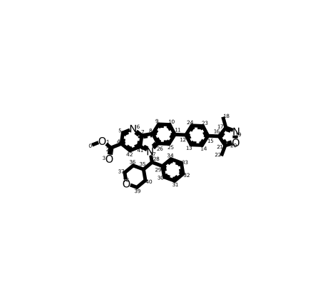 COC(=O)c1cnc2c3ccc(-c4ccc(-c5c(C)noc5C)cc4)cc3n(C(c3ccccc3)C3CCOCC3)c2c1